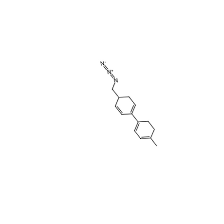 CC1=CC=C(C2=CCC(CN=[N+]=[N-])C=C2)CC1